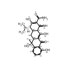 CN(C)[C@@H]1C(O)=C(C(N)=O)C(=N)C2C(O)=C3C(=O)c4c(O)cccc4[C@]4(O)C[C@]34C[C@H]21